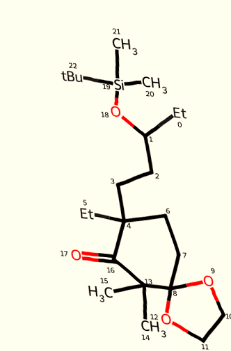 CCC(CCC1(CC)CCC2(OCCO2)C(C)(C)C1=O)O[Si](C)(C)C(C)(C)C